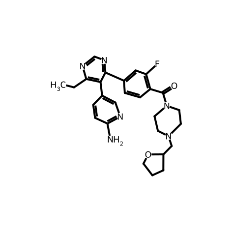 CCc1ncnc(-c2ccc(C(=O)N3CCN(CC4CCCO4)CC3)c(F)c2)c1-c1ccc(N)nc1